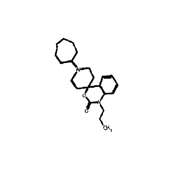 CCCN1C(=O)OC2(CCN(C3CCCCCC3)CC2)C2C=CC=CC21